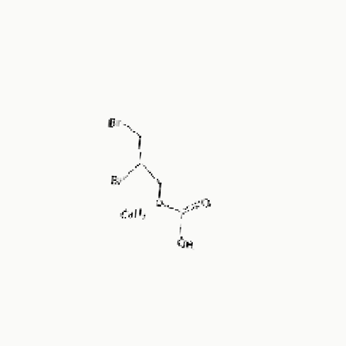 O=C(O)OCC(Br)CBr.[CaH2]